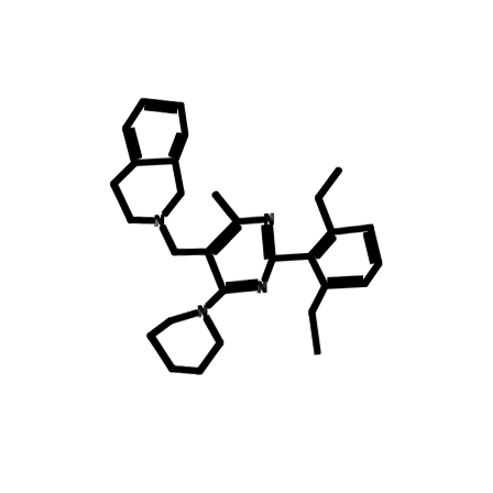 CCc1cccc(CC)c1-c1nc(C)c(CN2CCc3ccccc3C2)c(N2CCCCC2)n1